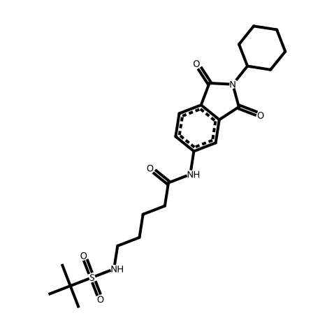 CC(C)(C)S(=O)(=O)NCCCCC(=O)Nc1ccc2c(c1)C(=O)N(C1CCCCC1)C2=O